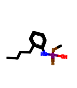 CCCCc1ccccc1NP(O)(=S)SC